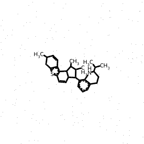 CC1C=Cc2c(sc3c2C2C(C)C(C)C(c4cccc5c4NC(C(C)C)CC5)C2C=C3)C1